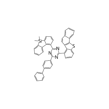 C[Si]1(C)c2ccccc2-c2c(-c3nc(-c4ccc(-c5ccccc5)cc4)nc(-c4cccc5sc6c7ccccc7ccc6c45)n3)cccc21